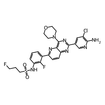 Nc1ncc(-c2nc(N3CCOCC3)c3nc(-c4cccc(NS(=O)(=O)CCCF)c4F)ccc3n2)cc1Cl